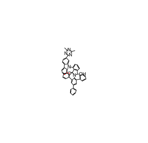 Cc1nc(C)nc(-c2ccc3c4ccccc4n(-c4cccc5c4C(=O)N(c4c(-c6ccccc6)cc(-c6ccccc6)cc4-c4ccccc4)C5O)c3c2)n1